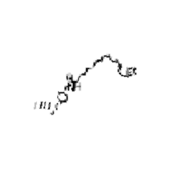 CC/C=C\C/C=C\C/C=C\CCCCCCCC(=O)NC[C@H]1CC[C@H](C(=O)O)CC1